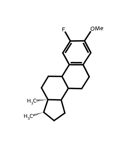 COc1cc2c(cc1F)C1CC[C@@]3(C)C(CC[C@@H]3C)C1CC2